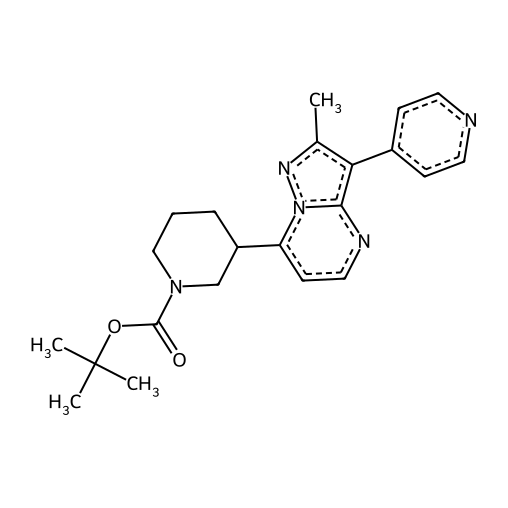 Cc1nn2c(C3CCCN(C(=O)OC(C)(C)C)C3)ccnc2c1-c1ccncc1